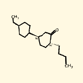 CCCC[C@@H]1CC[C@@H](C2CCC(CC)CC2)CC1=O